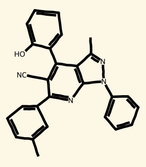 Cc1cccc(-c2nc3c(c(C)nn3-c3ccccc3)c(-c3ccccc3O)c2C#N)c1